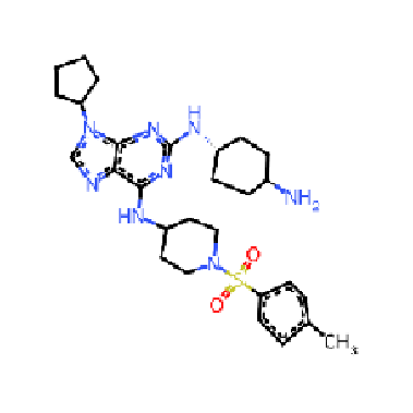 Cc1ccc(S(=O)(=O)N2CCC(Nc3nc(N[C@H]4CC[C@H](N)CC4)nc4c3ncn4C3CCCC3)CC2)cc1